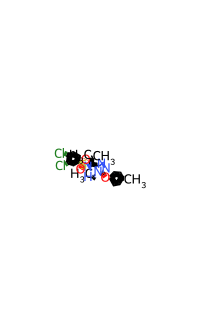 CCn1c(Oc2ccc(C)cc2)nnc1C(NS(=O)(=O)c1ccc(Cl)c(Cl)c1)C(C)C